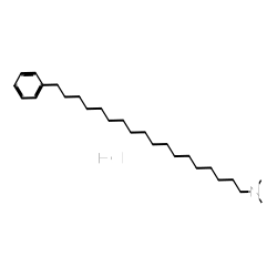 CN(C)CCCCCCCCCCCCCCCCCCc1ccccc1.Cl